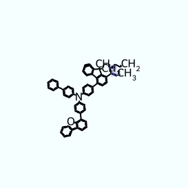 C=C/C=C\C(=C/C)c1ccc(-c2ccc(N(c3ccc(-c4ccccc4)cc3)c3ccc(-c4cccc5c4oc4ccccc45)cc3)cc2)c2c1C(C)(C)c1c#cccc1-2